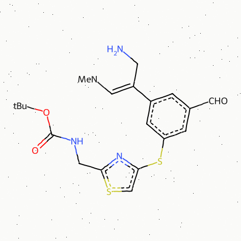 CN/C=C(\CN)c1cc(C=O)cc(Sc2csc(CNC(=O)OC(C)(C)C)n2)c1